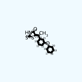 CC(=C1SC(=S)NC1=O)c1cccc(Oc2ccccc2)c1